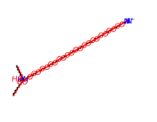 CCCCCCCCCCCC(CCCCCCCCCCC)(C(=O)O)C(=O)NCCOCCOCCOCCOCCOCCOCCOCCOCCOCCOCCOCCOCCOCCOCCOCCOCCOCCOCCOCCOCCOCCOCCOCCN=[N+]=[N-]